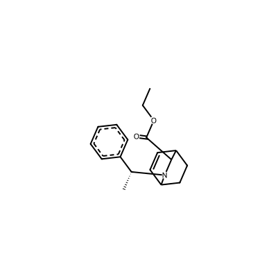 CCOC(=O)C1C2C=CC(CC2)N1[C@H](C)c1ccccc1